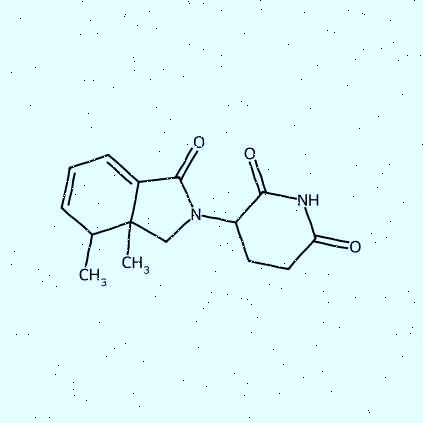 CC1C=CC=C2C(=O)N(C3CCC(=O)NC3=O)CC21C